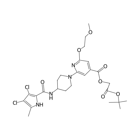 COCCOc1cc(C(=O)OCC(=O)OC(C)(C)C)cc(N2CCC(NC(=O)c3[nH]c(C)c(Cl)c3Cl)CC2)n1